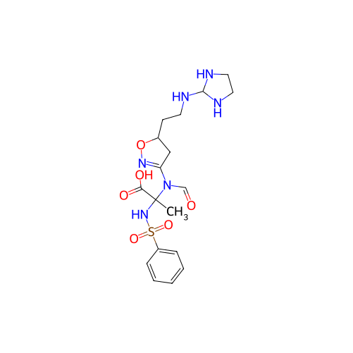 CC(NS(=O)(=O)c1ccccc1)(C(=O)O)N(C=O)C1=NOC(CCNC2NCCN2)C1